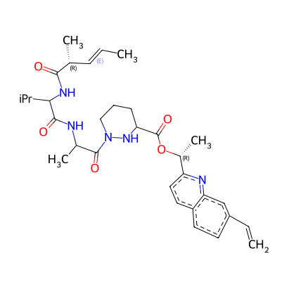 C=Cc1ccc2ccc([C@@H](C)OC(=O)C3CCCN(C(=O)C(C)NC(=O)C(NC(=O)[C@H](C)/C=C/C)C(C)C)N3)nc2c1